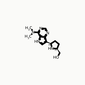 CN(C)c1ncnc2c([C@H]3CC[C@@H](CO)N3)c[nH]c12